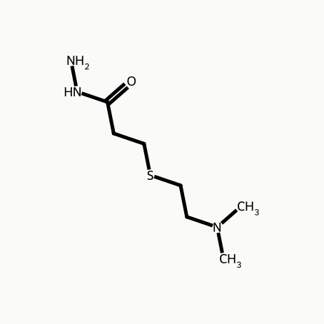 CN(C)CCSCCC(=O)NN